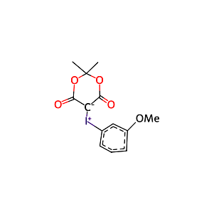 COc1cccc([I+][C-]2C(=O)OC(C)(C)OC2=O)c1